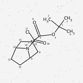 CC(C)(C)OC(=O)N1CC2CCC(C1)N2C(=O)Cl